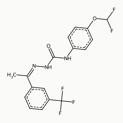 CC(=NNC(=O)Nc1ccc(OC(F)F)cc1)c1cccc(C(F)(F)F)c1